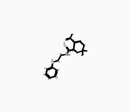 C=C(C)C1CCC(C)(C)CC1C(=O)NCCOc1ccccc1